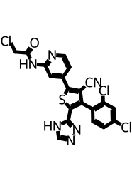 N#Cc1c(-c2ccnc(NC(=O)CCl)c2)sc(-c2nnc[nH]2)c1-c1ccc(Cl)cc1Cl